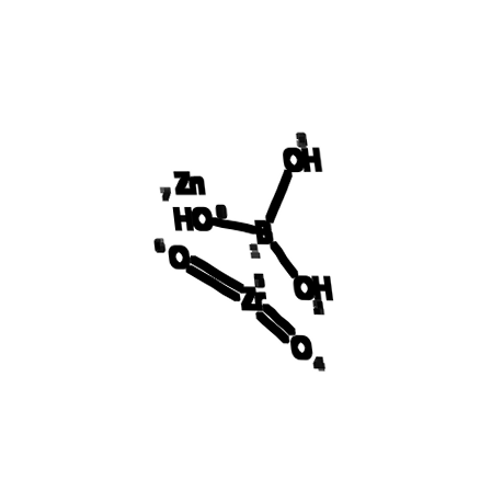 OB(O)O.[O]=[Zr]=[O].[Zn]